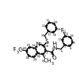 Cc1c(C(=O)NCc2cccc(F)c2)c(SCc2ccccc2)nc2cc(C(F)(F)F)ccc12